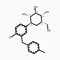 Cc1ccc(Cc2cc([C@@H]3C[C@@H](CO)[C@@H](O)[C@H](O)[C@H]3O)ccc2Cl)cc1